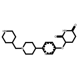 O=C1CCC(Oc2ccc(C3CCN(CC4CCNCC4)CC3)nc2)C(=O)N1